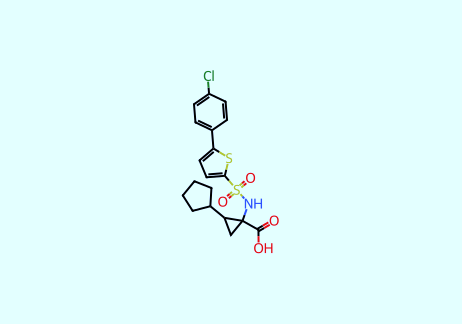 O=C(O)C1(NS(=O)(=O)c2ccc(-c3ccc(Cl)cc3)s2)CC1C1CCCC1